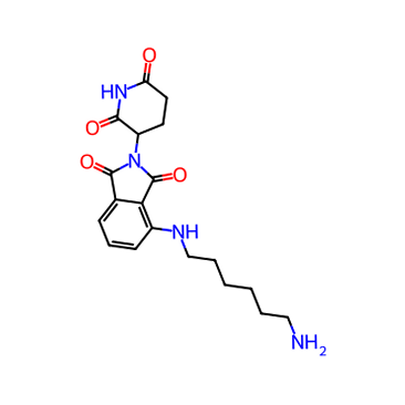 NCCCCCCNc1cccc2c1C(=O)N(C1CCC(=O)NC1=O)C2=O